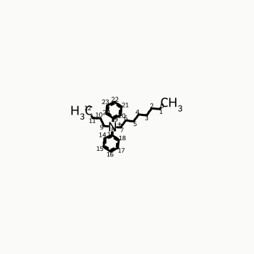 CCCCCCCC[N+](CCCC)(c1ccccc1)c1ccccc1